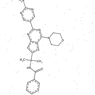 CC(C)(NC(=O)c1ccccc1)c1cc2nc(-c3cnc(N)nc3)nc(N3CCOCC3)c2s1